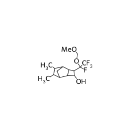 COCOC(F)(C1C(O)C2C3CC(C(C)C3C)C21)C(F)(F)F